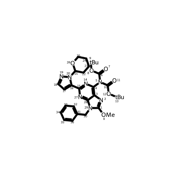 COc1nc2c(N(C(=O)OC(C)(C)C)C(=O)OC(C)(C)C)nc(-c3ccnn3C3CCCCO3)nc2n1Cc1ccccc1